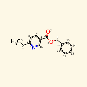 CCc1ccc(C(=O)OCc2ccccc2)cn1